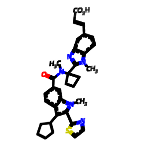 CN(C(=O)c1ccc2c(C3CCCC3)c(-c3nccs3)n(C)c2c1)C1(c2nc3cc(/C=C/C(=O)O)ccc3n2C)CCC1